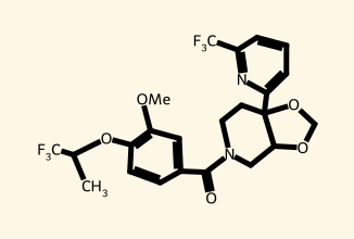 COc1cc(C(=O)N2CCC3(c4cccc(C(F)(F)F)n4)OCOC3C2)ccc1OC(C)C(F)(F)F